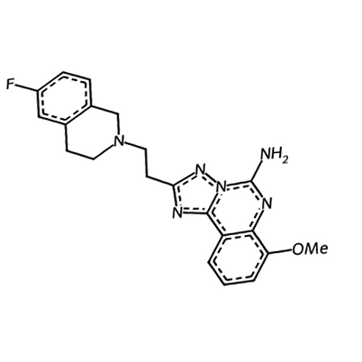 COc1cccc2c1nc(N)n1nc(CCN3CCc4cc(F)ccc4C3)nc21